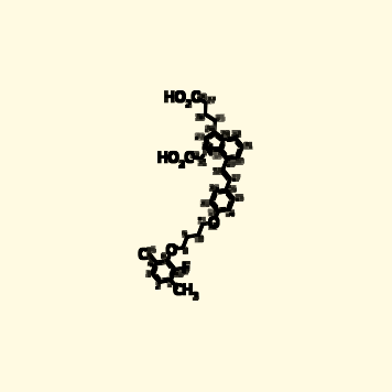 Cc1ccc(Cl)c(OCCCCOc2ccc(C=Cc3cccc4c(CCCC(=O)O)cn(CC(=O)O)c34)cc2)c1F